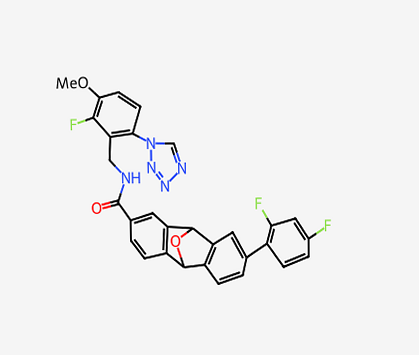 COc1ccc(-n2cnnn2)c(CNC(=O)c2ccc3c(c2)C2OC3c3ccc(-c4ccc(F)cc4F)cc32)c1F